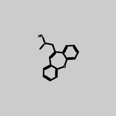 CCCN(C)CC1=Cc2ccccc2Oc2ccccc21